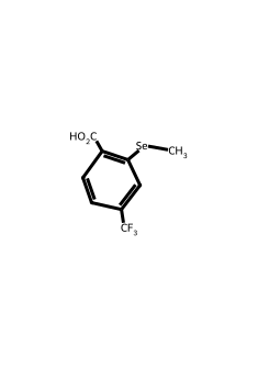 C[Se]c1cc(C(F)(F)F)ccc1C(=O)O